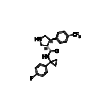 O=C(NC1(c2ccc(F)cc2)CC1)[C@@H]1CNC[C@H]1c1ccc(C(F)(F)F)cc1